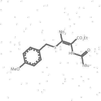 CCCCC(=O)NC(C(=O)OCC)=C(N)SCc1ccc(OC)cc1